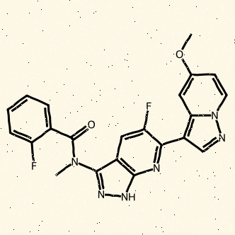 COc1ccn2ncc(-c3nc4[nH]nc(N(C)C(=O)c5ccccc5F)c4cc3F)c2c1